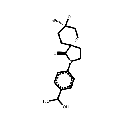 CCC[C@]1(O)CC[C@@]2(CCN(c3ccc(C(O)C(F)(F)F)cc3)C2=O)CC1